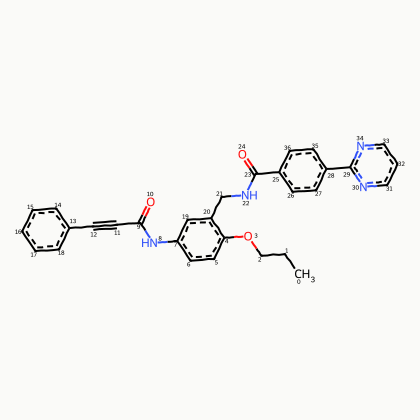 CCCOc1ccc(NC(=O)C#Cc2ccccc2)cc1CNC(=O)c1ccc(-c2ncccn2)cc1